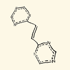 C(=C\c1ncncn1)/c1ncncn1